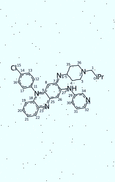 CC(C)CN1CCC(N=c2cc3n(-c4ccc(Cl)cc4)c4ccccc4nc-3cc2Nc2cccnc2)CC1